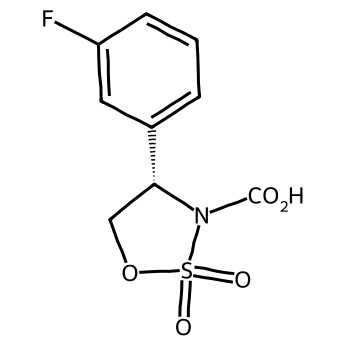 O=C(O)N1[C@@H](c2cccc(F)c2)COS1(=O)=O